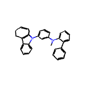 CN(c1cccc(-n2c3c(c4ccccc42)CCC=C3)c1)c1ccccc1-c1ccccc1